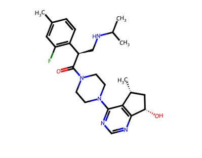 Cc1ccc([C@@H](CNC(C)C)C(=O)N2CCN(c3ncnc4c3[C@H](C)C[C@@H]4O)CC2)c(F)c1